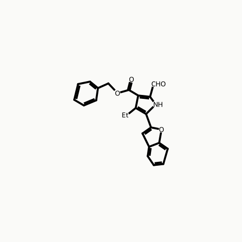 CCc1c(-c2cc3ccccc3o2)[nH]c(C=O)c1C(=O)OCc1ccccc1